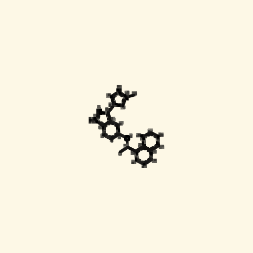 CC(Oc1ccc2[nH]nc(-c3cnn(C)c3)c2c1)c1cccc2cccnc12